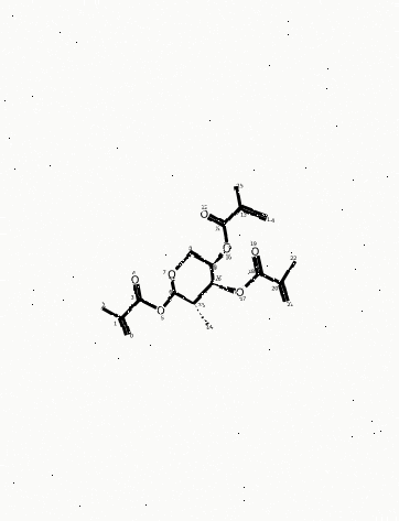 C=C(C)C(=O)OC1OC[C@@H](OC(=O)C(=C)C)[C@@H](OC(=O)C(=C)C)[C@@H]1C